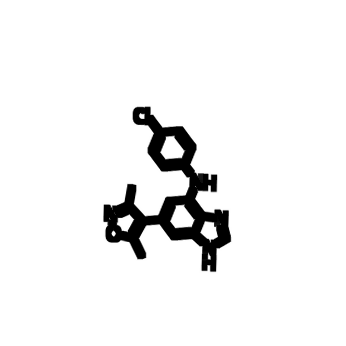 Cc1noc(C)c1-c1cc(Nc2ccc(Cl)cc2)c2nc[nH]c2c1